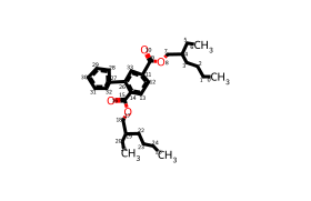 CCCCC(CC)COC(=O)c1ccc(C(=O)OCC(CC)CCCC)c(-c2ccccc2)c1